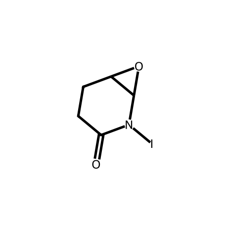 O=C1CCC2OC2N1I